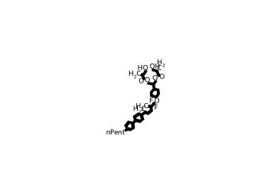 C=C(CO)C(=O)OCC(COC(=O)C(=C)CO)C1CCC(OC(F)(F)C(=C)/C=C\C(=C)c2ccc(-c3ccc(CCCCC)cc3)cc2)CC1